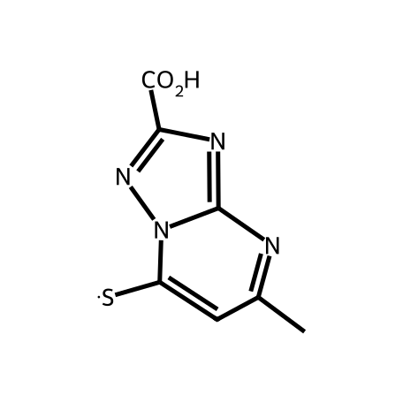 Cc1cc([S])n2nc(C(=O)O)nc2n1